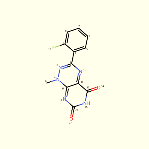 Cn1nc(-c2ccccc2F)nc2c(=O)[nH]c(=O)nc1-2